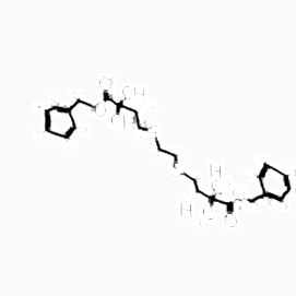 CC(C)(CCSCCSCCC(C)(C)C(=O)OCc1ccccc1)C(=O)OCc1ccccc1